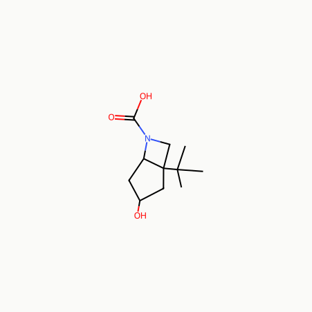 CC(C)(C)C12CC(O)CC1N(C(=O)O)C2